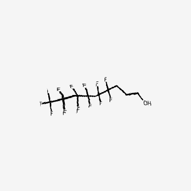 OCCCC(F)(F)C(F)(F)C(F)(F)C(F)(F)C(F)(F)C(F)(F)I